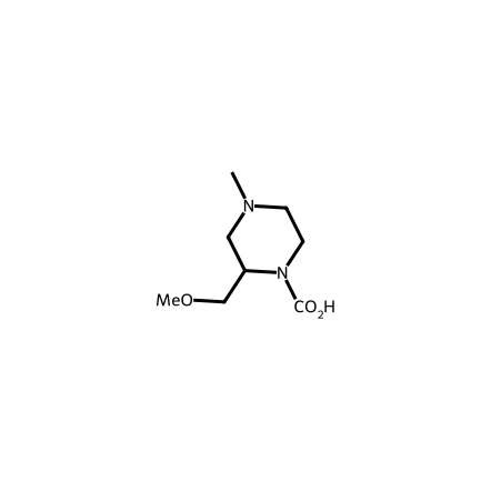 COCC1CN(C)CCN1C(=O)O